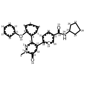 Cn1nc(-c2ccccc2Oc2ccccc2)c(-c2ccc(C(=O)NC3CCCC3)cc2)cc1=O